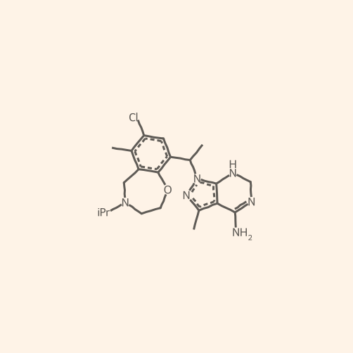 Cc1nn(C(C)c2cc(Cl)c(C)c3c2OCCN(C(C)C)C3)c2c1C(N)=NCN2